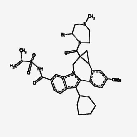 C=C(C)S(=O)(=O)NC(=O)c1ccc2c(C3CCCCC3)c3n(c2c1)CC1(C(=O)N2CCN(C)CC2CC)CC1c1cc(OC)ccc1-3